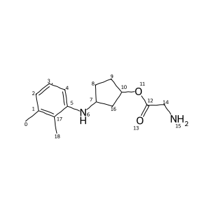 Cc1c[c]cc(NC2CCC(OC(=O)CN)C2)c1C